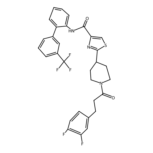 O=C(Nc1ccccc1-c1cccc(C(F)(F)F)c1)c1csc(C2CCN(C(=O)CCc3ccc(F)c(F)c3)CC2)n1